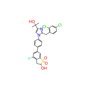 CC(C)(O)c1cn(-c2ccc(-c3cc(F)c4c(c3)S(=O)(=O)C(O)C4)cc2)c(Cc2ccc(Cl)cc2Cl)n1